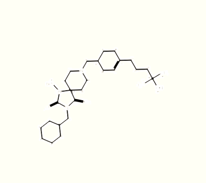 CCCN1C(=O)N(CC2CCCCC2)C(=O)C12CCN(CC1CC=C(CCCC(C)(C)O)CC1)CC2